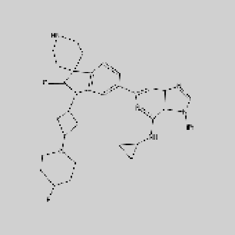 CC(C)n1cnc2cc(-c3ccc4c(c3)N(C3CC(N5CCC(F)CC5)C3)C(=O)C43CCNCC3)nc(NC3CC3)c21